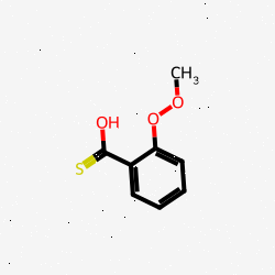 COOc1ccccc1C(O)=S